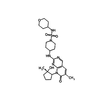 Cc1cc2cnc(NC3CCN(S(=O)(=O)NC4CCOCC4)CC3)nc2n(C2CCC[C@]2(C)O)c1=O